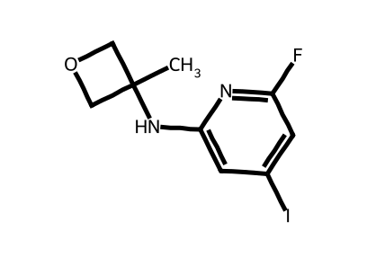 CC1(Nc2cc(I)cc(F)n2)COC1